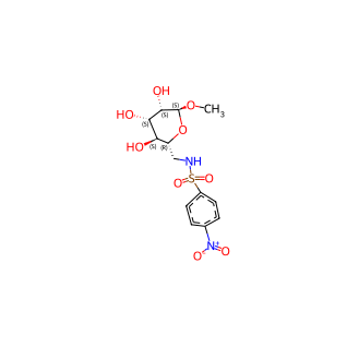 CO[C@H]1O[C@H](CNS(=O)(=O)c2ccc([N+](=O)[O-])cc2)[C@@H](O)[C@H](O)[C@@H]1O